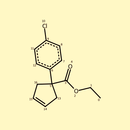 CCOC(=O)C1(c2ccc(Cl)cc2)CC=CC1